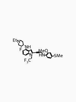 CCN1CC[C@H](Nc2cccc3c2cc(C#CCNc2ccc(SC)cc2OC)n3CC(F)(F)F)[C@H](F)C1